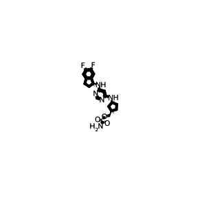 NS(=O)(=O)OC[C@@H]1CC[C@H](Nc2cc(N[C@H]3CCc4cc(F)c(F)cc43)ncn2)C1